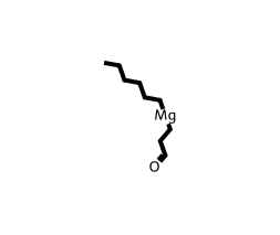 CCCCC[CH2][Mg][CH2]CC=O